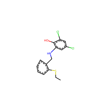 CCSc1ccccc1CNc1cc(Cl)cc(Cl)c1O